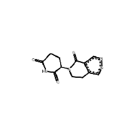 O=C1CCC(N2CCc3cnncc3C2=O)C(=O)N1